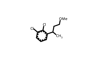 COCC[C](C)c1cccc(Cl)c1Cl